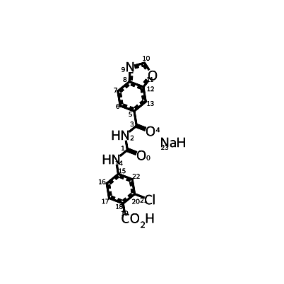 O=C(NC(=O)c1ccc2ncoc2c1)Nc1ccc(C(=O)O)c(Cl)c1.[NaH]